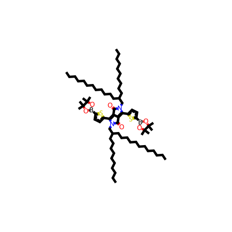 CCCCCCCCCCCCC(CCCCCCCCCC)CN1C(=O)C2=C(c3ccc(B4OC(C)(C)C(C)(C)O4)s3)N(CC(CCCCCCCCCC)CCCCCCCCCCCC)C(=O)C2=C1c1ccc(B2OC(C)(C)C(C)(C)O2)s1